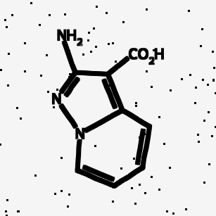 Nc1nn2ccccc2c1C(=O)O